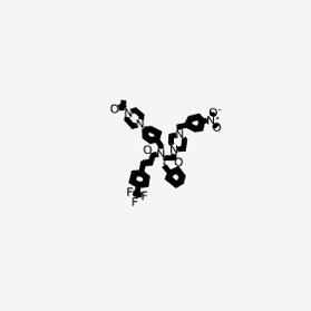 CC(=O)N1CCN(c2ccc(CN(C(=O)C=Cc3ccc(C(F)(F)F)cc3)[C@@H](Cc3ccccc3)C(=O)N3CCN(Cc4ccc([N+](=O)[O-])cc4)CC3)cc2)CC1